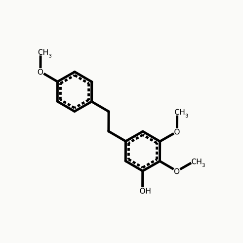 COc1ccc(CCc2cc(O)c(OC)c(OC)c2)cc1